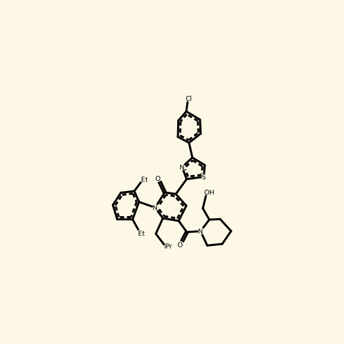 CCc1cccc(CC)c1-n1c(CC(C)C)c(C(=O)N2CCCCC2CO)cc(-c2nc(-c3ccc(Cl)cc3)cs2)c1=O